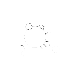 C=C(CCO)C1CCCC(=O)C2=CC(C3CCOCC3)C=C2CC(=O)c2csc(c2)-c2cccc(c2)CCC1